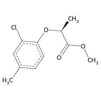 COC(=O)[C@H](C)Oc1ccc(C)cc1Cl